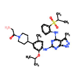 BCC(=O)N1CCC(c2cc(OC(C)C)c(Nc3nc(Nc4ccccc4S(=O)(=O)C(C)C)c4c(C)n[nH]c4n3)cc2C)CC1